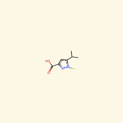 CC(C)c1cc(C(=O)O)nn1F